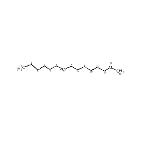 [CH2]CCCCCOCCCCCCOC